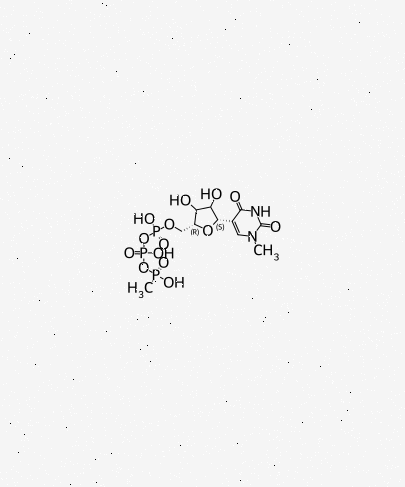 Cn1cc([C@@H]2O[C@H](COP(=O)(O)OP(=O)(O)OP(C)(=O)O)C(O)C2O)c(=O)[nH]c1=O